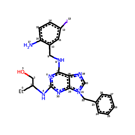 CCC(CO)Nc1nc(NCc2cc(I)ccc2N)c2ncn(Cc3ccccc3)c2n1